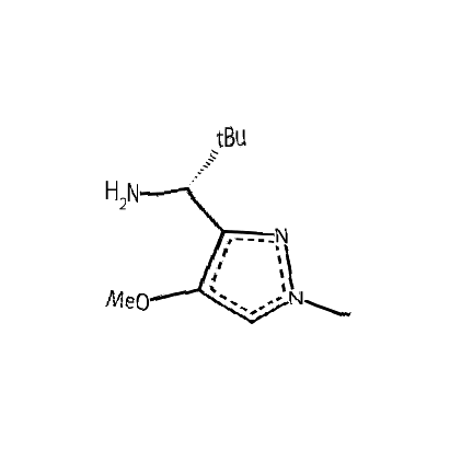 COc1cn(C)nc1[C@H](N)C(C)(C)C